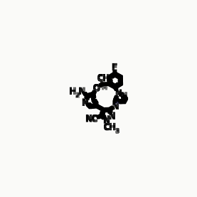 C[C@H]1Oc2cc(cnc2N)-c2c(nn(C)c2C#N)/N=C2\C=CC=NN2c2ccc(F)cc21